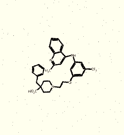 Cc1cc(Nc2cc(OCCN3CCC(Cc4ccccc4)(C(=O)O)CC3)cc(C(F)(F)F)c2)c2ccccc2n1